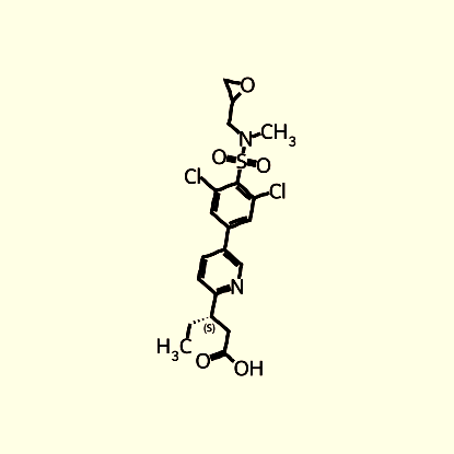 CC[C@@H](CC(=O)O)c1ccc(-c2cc(Cl)c(S(=O)(=O)N(C)CC3CO3)c(Cl)c2)cn1